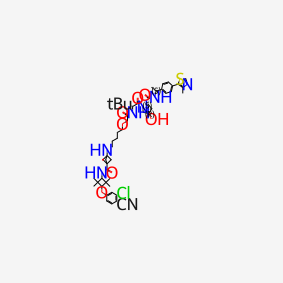 Cc1ncsc1-c1ccc([C@H](C)NC(=O)[C@@H]2C[C@@H](O)CN2C(=O)C(NC(=O)COCCCCCNC23CC(C(=O)NC4C(C)(C)C(Oc5ccc(C#N)c(Cl)c5)C4(C)C)(C2)C3)C(C)(C)C)cc1